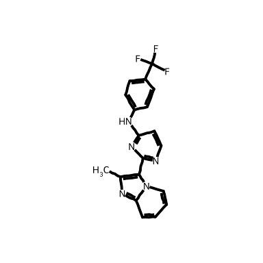 Cc1nc2ccccn2c1-c1nccc(Nc2ccc(C(F)(F)F)cc2)n1